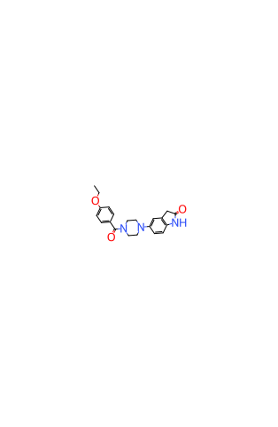 CCOc1ccc(C(=O)N2CCN(c3ccc4c(c3)CC(=O)N4)CC2)cc1